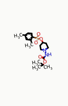 Cc1ccc(S(=O)(=O)OC2CCN(NC(=O)OC(C)(C)C)CC2)c(C)c1